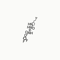 O=C(COc1ccc(F)c(F)c1)NC12CC(NC(=O)C3CCC(CCC4CC4)CN3)(C1)C2